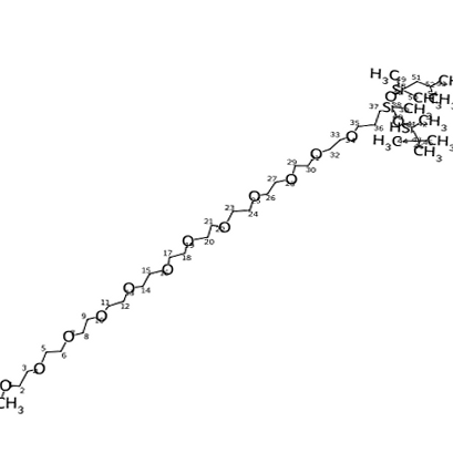 COCCOCCOCCOCCOCCOCCOCCOCCOCCOCCOCCOCCC[Si](C)(O[SiH](C)C(C)(C)C)O[Si](C)(C)CC(C)C